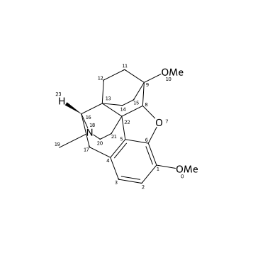 COc1ccc2c3c1OC1C4(OC)CCC5(CC4)[C@@H](C2)N(C)CCC315